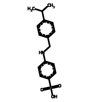 CC(C)c1ccc(CNc2ccc(S(=O)(=O)O)cc2)cc1